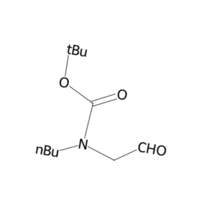 CCCCN(CC=O)C(=O)OC(C)(C)C